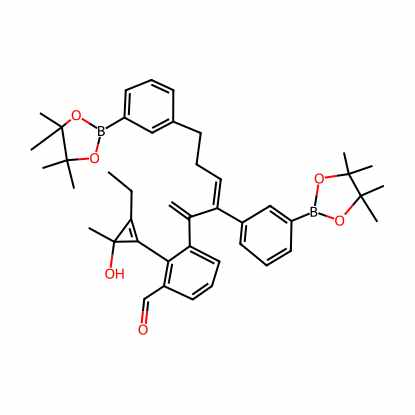 C=C(/C(=C\CCc1cccc(B2OC(C)(C)C(C)(C)O2)c1)c1cccc(B2OC(C)(C)C(C)(C)O2)c1)c1cccc(C=O)c1C1=C(CC)C1(C)O